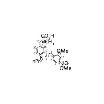 CCCn1cc(Cc2ccc(C(=O)OC)cc2OC)c2cc(CC(C)C(=O)O)ccc21